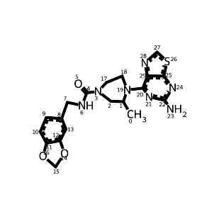 CC1CN(C(=O)NCc2ccc3c(c2)OCO3)CCN1c1nc(N)nc2scnc12